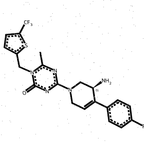 Cc1nc(N2CC=C(c3ccc(F)cc3)[C@H](N)C2)nc(=O)n1Cc1ccc(C(F)(F)F)s1